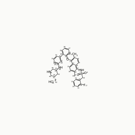 Cc1ccc2c(NS(=O)(=O)Cc3ccccc3F)c(F)ccc2c1Oc1ncccc1-c1ccnc(N[C@@H]2CNC[C@@H](F)C2)n1.Cl